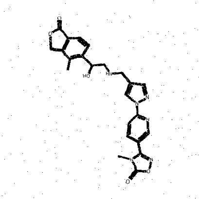 Cc1c(C(O)CNCc2cnn(-c3ccc(-c4noc(=O)n4C)cn3)c2)ccc2c1COC2=O